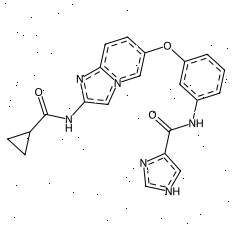 O=C(Nc1cccc(Oc2ccc3nc(NC(=O)C4CC4)cn3c2)c1)c1c[nH]cn1